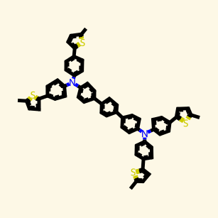 Cc1ccc(-c2ccc(N(c3ccc(-c4ccc(-c5ccc(N(c6ccc(-c7ccc(C)s7)cc6)c6ccc(-c7ccc(C)s7)cc6)cc5)cc4)cc3)c3ccc(-c4ccc(C)s4)cc3)cc2)s1